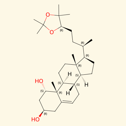 C[C@H](CC[C@H]1OC(C)(C)OC1(C)C)[C@H]1CC[C@H]2[C@@H]3CC=C4C[C@@H](O)C[C@H](O)[C@]4(C)[C@H]3CC[C@]12C